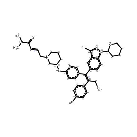 CN(C)C(=O)/C=C/CN1CCC[C@@H](Oc2ccc(/C(=C(/CC(F)(F)F)c3ccc(F)cc3)c3ccc4c(c3)c(F)nn4C3CCCCO3)cn2)C1